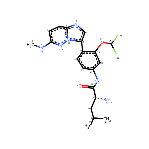 CNc1ccc2ncc(-c3ccc(NC(=O)[C@H](N)CC(C)C)cc3OC(F)F)n2n1